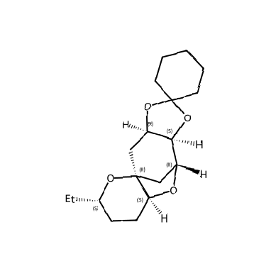 CC[C@H]1CC[C@@H]2O[C@@H]3C[C@]2(C[C@H]2OC4(CCCCC4)O[C@@H]32)O1